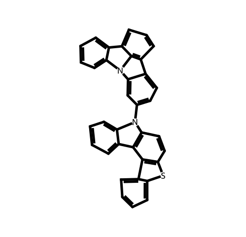 c1ccc2c(c1)sc1ccc3c(c4ccccc4n3-c3ccc4c5cccc6c7ccccc7n(c4c3)c65)c12